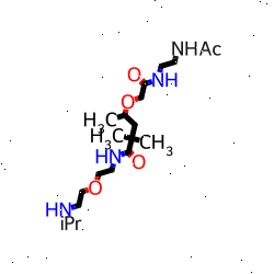 CC(=O)NCCNC(=O)COC(C)CC(C)(C)C(=O)NCCOCCNC(C)C